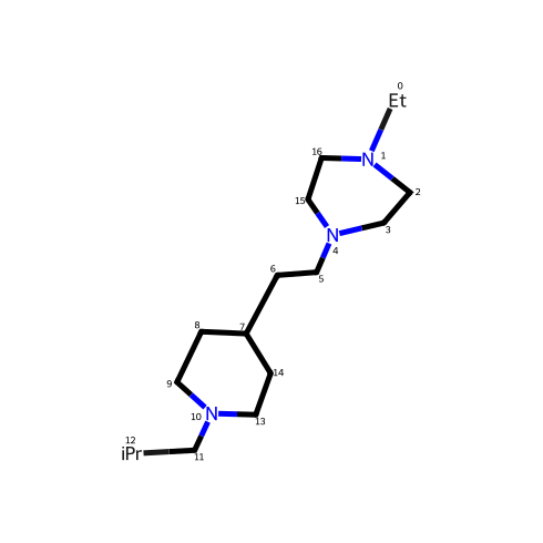 CCN1CCN(CCC2CCN(CC(C)C)CC2)CC1